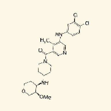 CO[C@H]1COCC[C@H]1NC1CCN(C(=O)c2cncc(Nc3ccc(Cl)c(Cl)c3)c2C)CC1